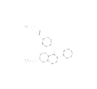 COc1ccc2c(Oc3ccc(/C=C/C(=O)O)cc3)c(-c3ccccc3)ccc2c1